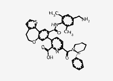 Cc1cc(CN)cc(C)c1NC(=O)c1cc2c(cc1-c1ccc(C(=O)N3CCCC[C@@H]3c3ccccc3)nc1C(=O)O)OCCc1ccsc1-2